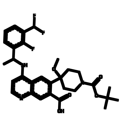 COC1(c2cc3c(NC(C)c4cccc(C(F)F)c4F)ccnc3cc2C(=O)O)CCN(C(=O)OC(C)(C)C)CC1